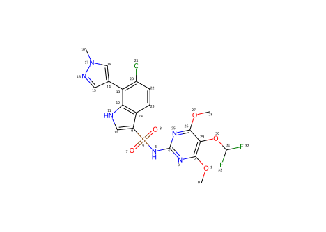 COc1nc(NS(=O)(=O)c2c[nH]c3c(-c4cnn(C)c4)c(Cl)ccc23)nc(OC)c1OC(F)F